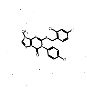 Cn1cnc2c(=O)n(-c3ccc(Cl)cc3)c(SCc3ccc(Cl)cc3Cl)nc21